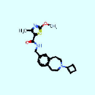 COc1nc(C)c(C(=O)NCc2ccc3c(c2)CCN(C2CCC2)CC3)s1